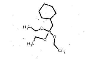 CCO[Si]([CH]C1CCCCC1)(OCC)OCC